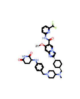 CC(C)Oc1cc2nc([C@H]3CC[C@H](CN(C)C4CCN(Cc5ccc(NC6CCC(=O)NC6=O)cc5)CC4)CC3)cn2cc1C(=O)Nc1cccc(C(F)F)n1